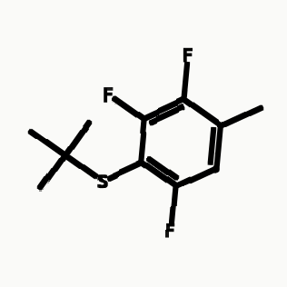 Cc1cc(F)c(SC(C)(C)C)c(F)c1F